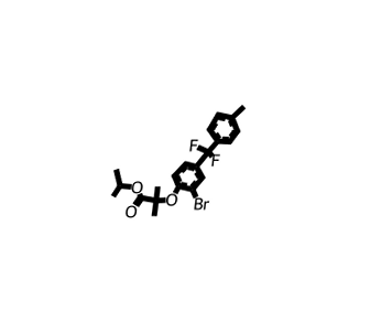 Cc1ccc(C(F)(F)c2ccc(OC(C)(C)C(=O)OC(C)C)c(Br)c2)cc1